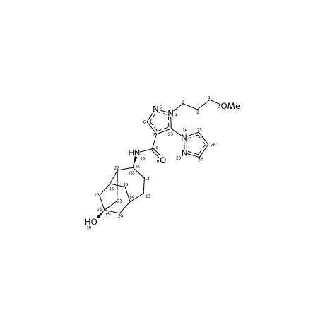 COCCCn1ncc(C(=O)N[C@H]2CCC3CC4C[C@@](O)(C3)CC42)c1-n1cccn1